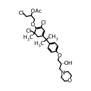 CC(=O)OC(CCl)COC1=C(Cl)C=C(C(C)(C)c2ccc(OC[C@H](O)CN3CCOCC3)cc2)CC1(C)Cl